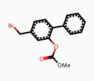 COC(=O)Oc1cc(CBr)ccc1-c1ccccc1